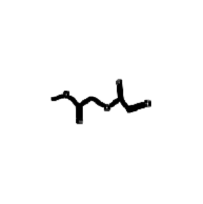 COC(=O)COC(=O)C=O